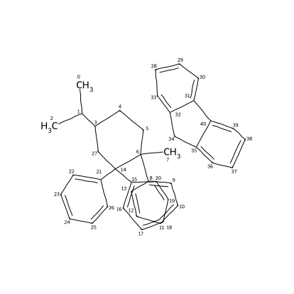 CC(C)C1CCC(C)(c2ccccc2)C(c2ccccc2)(c2ccccc2)C1.c1ccc2c(c1)Cc1ccccc1-2